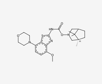 COc1ccc(N2CCOCC2)c2sc(NC(=O)ON3CC4CC[C@@](C)(C3)C4(C)C)nc12